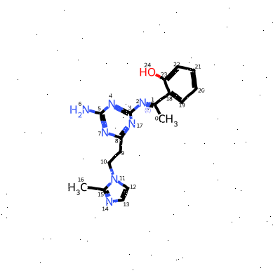 C/C(=N\c1nc(N)nc(CCn2ccnc2C)n1)c1ccccc1O